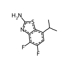 CC(C)c1cc(F)c(F)c2nc(N)sc12